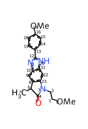 COCCN1C(=O)C(C)c2cc3nc(-c4ccc(OC)cc4)[nH]c3cc21